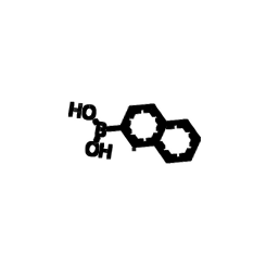 OB(O)c1[c]c2ccccc2cc1